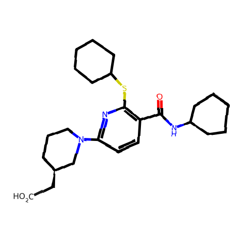 O=C(O)C[C@H]1CCCN(c2ccc(C(=O)NC3CCCCC3)c(SC3CCCCC3)n2)C1